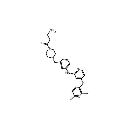 Cc1ccc(Oc2ccnc(Nc3cccc(CN4CCN(C(=O)CCN)CC4)c3)c2)c(C)n1